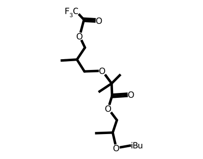 CCC(C)OC(C)COC(=O)C(C)(C)OCC(C)COC(=O)C(F)(F)F